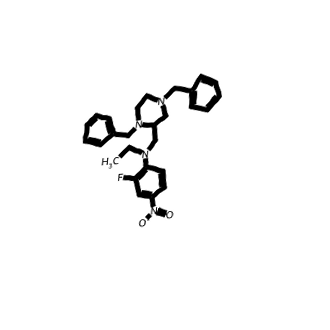 CCN(CC1CN(Cc2ccccc2)CCN1Cc1ccccc1)c1ccc([N+](=O)[O-])cc1F